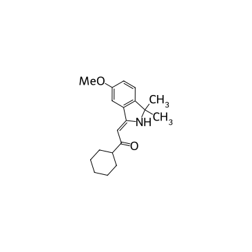 COc1ccc2c(c1)/C(=C/C(=O)C1CCCCC1)NC2(C)C